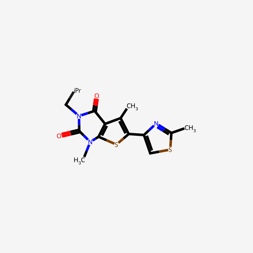 Cc1nc(-c2sc3c(c2C)c(=O)n(CC(C)C)c(=O)n3C)cs1